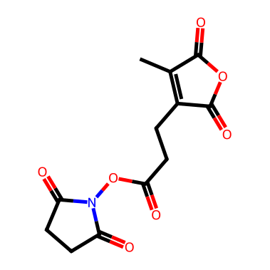 CC1=C(CCC(=O)ON2C(=O)CCC2=O)C(=O)OC1=O